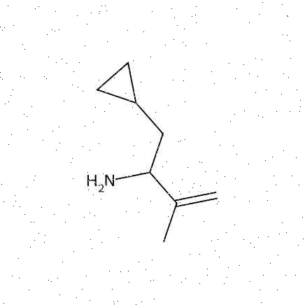 C=C(C)C(N)CC1CC1